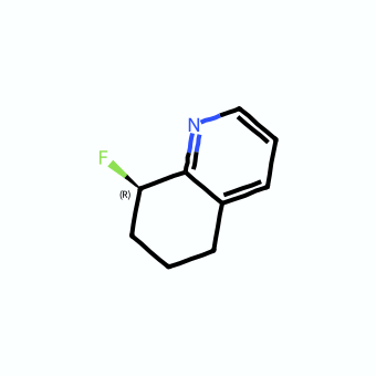 F[C@@H]1CCCc2cccnc21